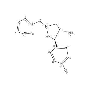 N[C@H]1CN(Cc2ccccc2)C[C@@H]1c1ccc(Cl)cc1